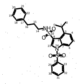 CC(C)c1cccc2c1c(S(=O)(=O)NCCCc1ccccc1)cn2S(=O)(=O)c1ccccc1